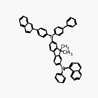 CC1(C)c2cc(N(c3ccc(-c4ccccc4)cc3)c3ccc(-c4ccc5ccccc5c4)cc3)ccc2-c2ccc(N(c3ccccc3)c3cccc4ccccc34)cc21